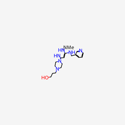 CNN/C(=C\C(=N)N1CCN(CCCO)CC1)NCc1cccnc1